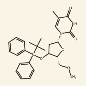 Cc1cn([C@H]2CC(O[Si](c3ccccc3)(c3ccccc3)C(C)(C)C)[C@@H](CON)O2)c(=O)[nH]c1=O